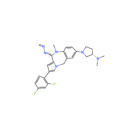 C=N/N=C1/c2cc(-c3ccc(F)cc3F)cn2Cc2cc(N3CC[C@H](N(C)C)C3)ccc2N1C